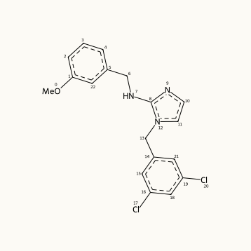 COc1cccc(CNc2nccn2Cc2cc(Cl)cc(Cl)c2)c1